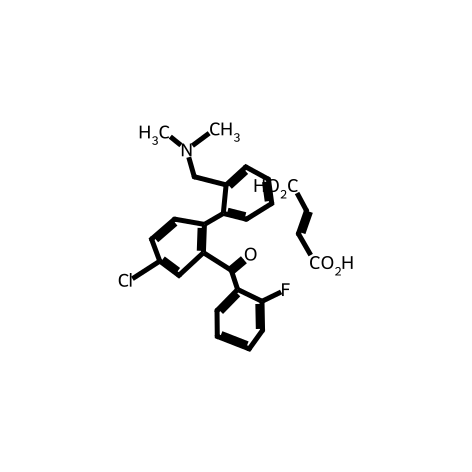 CN(C)Cc1ccccc1-c1ccc(Cl)cc1C(=O)c1ccccc1F.O=C(O)C=CC(=O)O